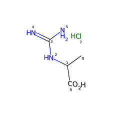 CC(NC(=N)N)C(=O)O.Cl